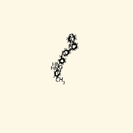 Cc1ccc(NC(=O)Nc2cccc(CN3CC=C(c4cccc(N5CCOCC5)n4)CC3)c2)nc1